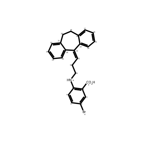 O=C(O)c1cc(Br)ccc1NCCC=C1c2ccccc2CCc2ccccc21